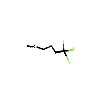 CCCCCC(F)(F)I